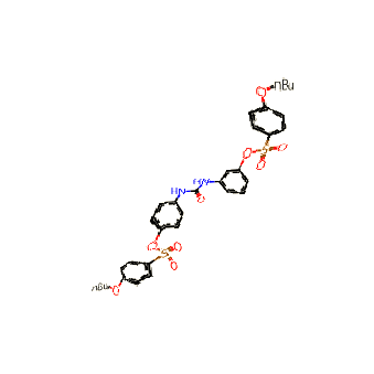 CCCCOc1ccc(S(=O)(=O)Oc2ccc(NC(=O)Nc3cccc(OS(=O)(=O)c4ccc(OCCCC)cc4)c3)cc2)cc1